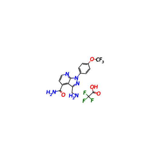 NCc1nn(-c2ccc(OC(F)(F)F)cc2)c2nccc(C(N)=O)c12.O=C(O)C(F)(F)F